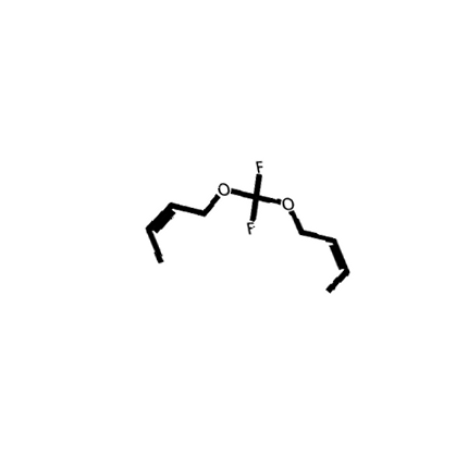 C/C=C\COC(F)(F)OC/C=C\C